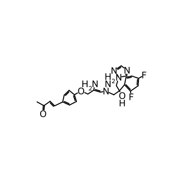 CC(=O)/C=C/c1ccc(OC/C(N)=C/N(N)CC(O)(Cn2cncn2)c2ccc(F)cc2F)cc1